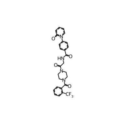 O=C(NCC(=O)N1CCN(C(=O)c2ccccc2C(F)(F)F)CC1)c1ccc(-n2ccccc2=O)cc1